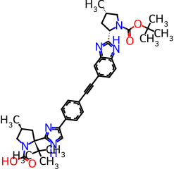 C[C@@H]1CN(C(=O)O)[C@](c2nc(-c3ccc(C#Cc4ccc5[nH]c([C@@H]6C[C@H](C)CN6C(=O)OC(C)(C)C)nc5c4)cc3)c[nH]2)(C(C)(C)C)C1